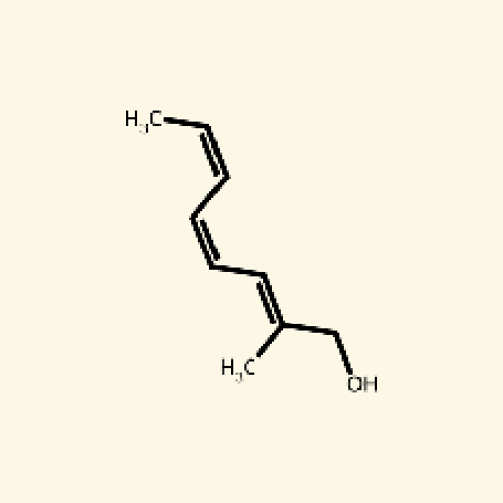 C\C=C/C=C\C=C(/C)CO